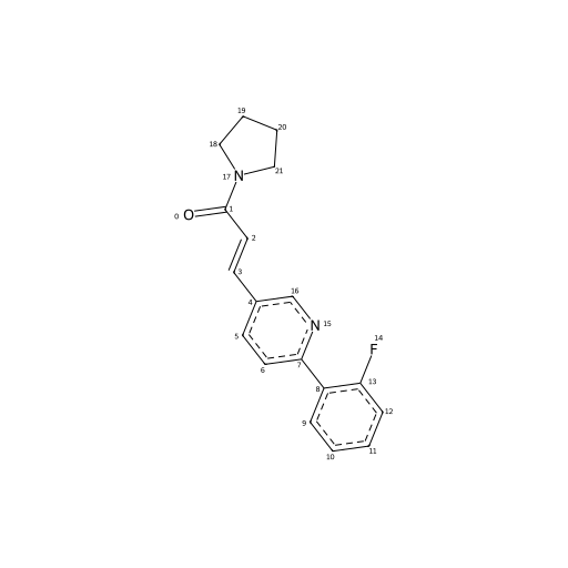 O=C(C=Cc1ccc(-c2ccccc2F)nc1)N1CCCC1